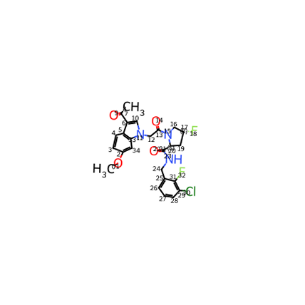 COc1ccc2c(C(C)=O)cn(CC(=O)N3C[C@H](F)C[C@H]3C(=O)NCc3cccc(Cl)c3F)c2c1